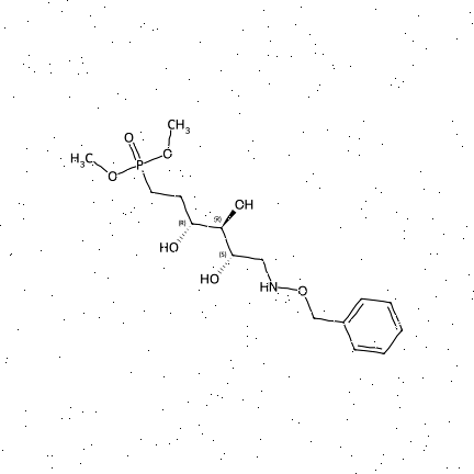 COP(=O)(CC[C@@H](O)[C@@H](O)[C@@H](O)CNOCc1ccccc1)OC